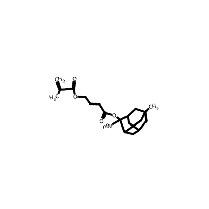 C=C(C)C(=O)OCCCC(=O)OC1(CCCC)C2CC3CC1CC(C)(C3)C2